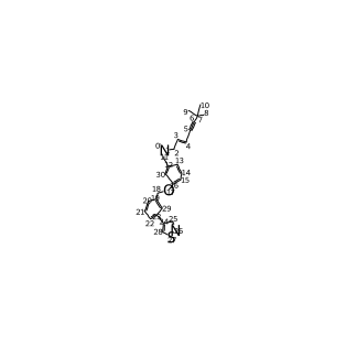 CN(CC=CC#CC(C)(C)C)Cc1cccc(OCc2cccc(-c3cnsc3)c2)c1